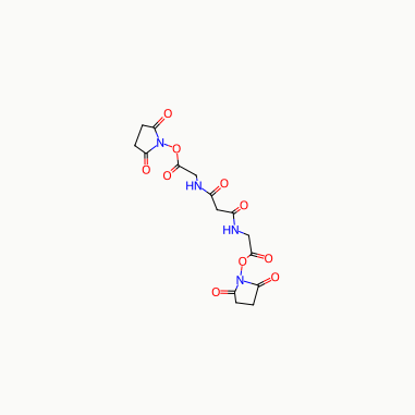 O=C(CC(=O)NCC(=O)ON1C(=O)CCC1=O)NCC(=O)ON1C(=O)CCC1=O